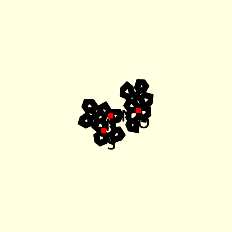 c1ccc(C2(c3ccccc3)c3ccccc3-c3cc(N(c4cccc(N(c5cccc6c5-c5ccccc5C6(c5ccccc5)c5ccccc5)c5cccc6sc7ccccc7c56)c4)c4cccc5oc6ccccc6c45)ccc32)cc1